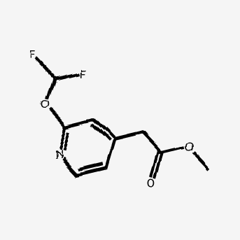 COC(=O)Cc1ccnc(OC(F)F)c1